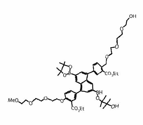 CCOC(=O)c1cc(-c2cc(B3OC(C)(C)C(C)(C)O3)cc3c(-c4ccc(OCCOCCOCCOC)c(C(=O)OCC)c4)cc(BOC(C)(C)C(C)(C)O)cc23)ccc1COCCOCCOCCO